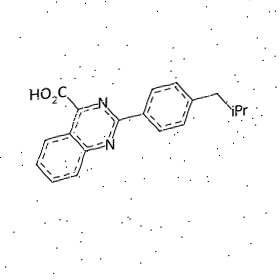 CC(C)Cc1ccc(-c2nc(C(=O)O)c3ccccc3n2)cc1